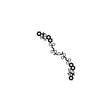 CC(COCC(C)OC(=O)CCC(=O)Oc1ccc2ccc3c(c2c1)N=CC1(O3)N(C)c2ccccc2C1(C)C)OC(=O)CCC(=O)Oc1ccc2ccc3c(c2c1)N=CC1(O3)N(C)c2ccccc2C1(C)C